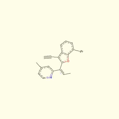 C#Cc1c(/C(=C\C)c2cc(C)ccn2)oc2c(C(C)C)cccc12